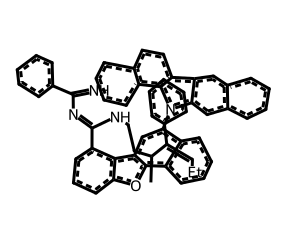 CC/C=C(/c1ccccc1)C(C)CCN/C(=N\C(=N)c1ccccc1)c1cccc2oc3c4ccccc4c(-n4c5cc6ccccc6cc5c5ccc6ccccc6c54)cc3c12